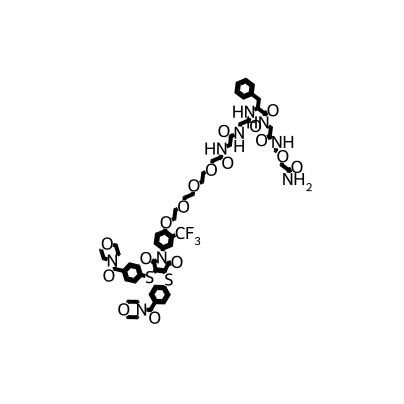 NC(=O)COCNC(=O)CNC(=O)C(Cc1ccccc1)NC(=O)CNC(=O)CNC(=O)COCCOCCOCCOc1ccc(N2C(=O)C(Sc3ccc(C(=O)N4CCOCC4)cc3)=C(Sc3ccc(C(=O)N4CCOCC4)cc3)C2=O)cc1C(F)(F)F